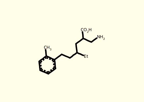 CCC(CCc1ccccc1C)CC(CN)C(=O)O